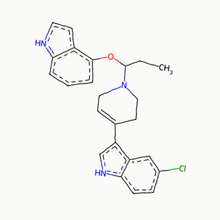 CCC(Oc1cccc2[nH]ccc12)N1CC=C(c2c[nH]c3ccc(Cl)cc23)CC1